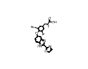 O=C(O)C(F)Cc1cc(Br)c(Oc2ccc3[nH]c(-c4ncco4)nc3c2)c(Br)c1